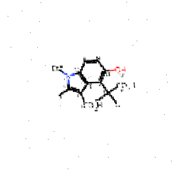 CCn1c(C)c(C(=O)O)c2c(C(C)(C)C(=O)O)c(O)ccc21